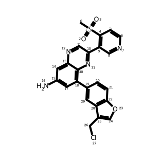 CS(=O)(=O)c1ccncc1-c1cnc2cc(N)cc(-c3ccc4occ(CCl)c4c3)c2n1